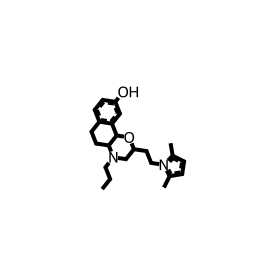 CCCN1CC(CCn2c(C)ccc2C)OC2c3cc(O)ccc3CCC21